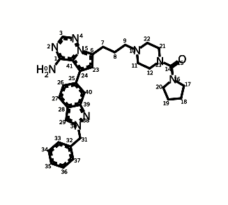 Nc1ncnn2c(CCCN3CCN(C(=O)N4CCCC4)CC3)cc(-c3ccc4cn(Cc5ccccc5)nc4c3)c12